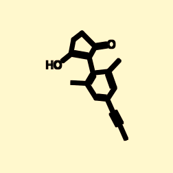 CC#Cc1cc(C)c(C2=C(O)CCC2=O)c(C)c1